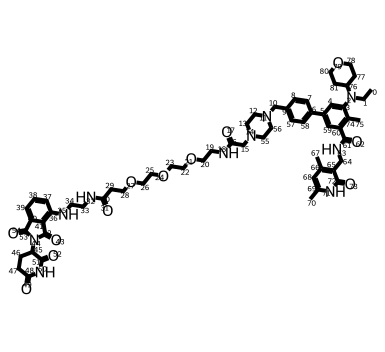 CCN(c1cc(-c2ccc(CN3CCN(CC(=O)NCCOCCOCCOCCC(=O)NCCNc4cccc5c4C(=O)N(C4CCC(=O)NC4=O)C5=O)CC3)cc2)cc(C(=O)NCc2c(C)cc(C)[nH]c2=O)c1C)C1CCOCC1